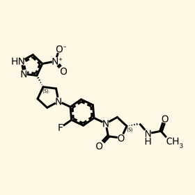 CC(=O)NC[C@H]1CN(c2ccc(N3CC[C@H](c4n[nH]cc4[N+](=O)[O-])C3)c(F)c2)C(=O)O1